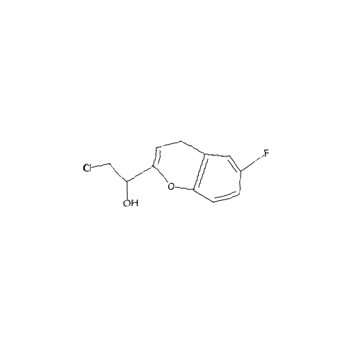 OC(CCl)C1=CCc2cc(F)ccc2O1